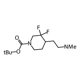 CNCCC1CCN(C(=O)OC(C)(C)C)CC1(F)F